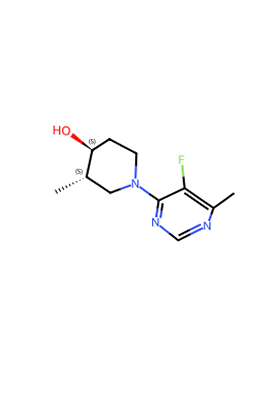 Cc1ncnc(N2CC[C@H](O)[C@@H](C)C2)c1F